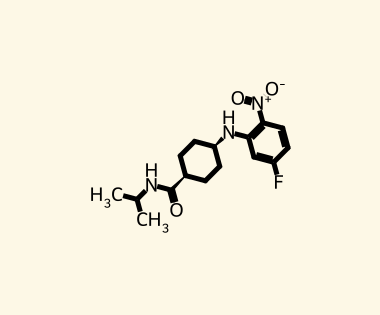 CC(C)NC(=O)[C@H]1CC[C@@H](Nc2cc(F)ccc2[N+](=O)[O-])CC1